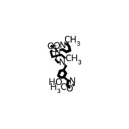 Cc1cccc(N2[C@@]3(CCN(Cc4ccc(O)c(-c5ncoc5C)c4)[C@@H](C)C3)CCS2(=O)=O)n1